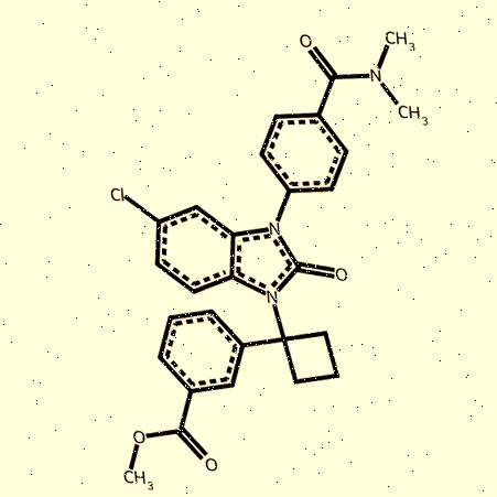 COC(=O)c1cccc(C2(n3c(=O)n(-c4ccc(C(=O)N(C)C)cc4)c4cc(Cl)ccc43)CCC2)c1